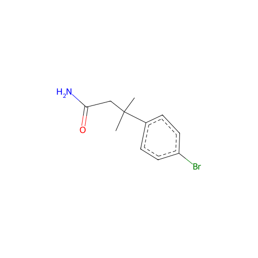 CC(C)(CC(N)=O)c1ccc(Br)cc1